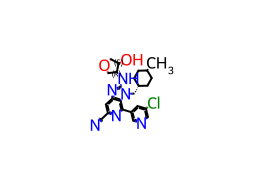 C[C@H]1CC[C@H](Cn2c(N[C@@H]3COC[C@H]3O)nc3cc(C#N)nc(-c4cncc(Cl)c4)c32)CC1